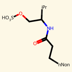 CCCCCCCCCCCC(=O)NC(COS(=O)(=O)O)C(C)C